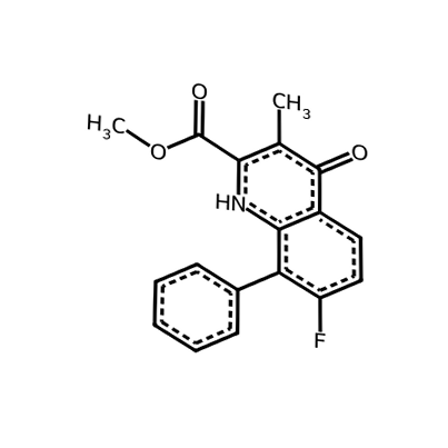 COC(=O)c1[nH]c2c(-c3ccccc3)c(F)ccc2c(=O)c1C